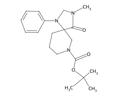 CN1CN(c2ccccc2)C2(CCCN(C(=O)OC(C)(C)C)C2)C1=O